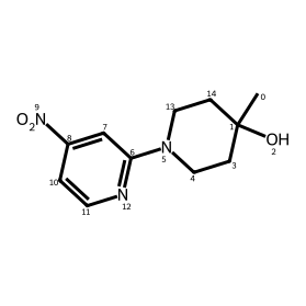 CC1(O)CCN(c2cc([N+](=O)[O-])ccn2)CC1